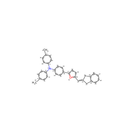 Cc1ccc(N(c2ccc(C)cc2)c2ccc(-c3ccc(C=C4Cc5ccccc5C4)o3)cc2)cc1